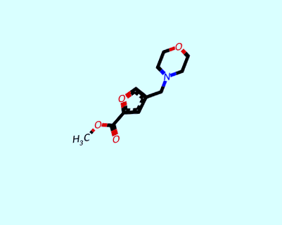 COC(=O)c1cc(CN2CCOCC2)co1